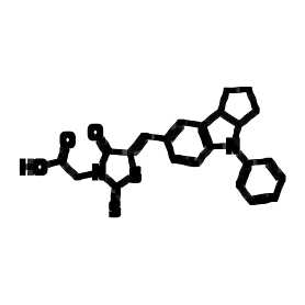 O=C(O)CN1C(=O)/C(=C/c2ccc3c(c2)C2CCCC2N3c2ccccc2)SC1=S